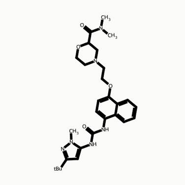 CN(C)C(=O)C1CN(CCOc2ccc(NC(=O)Nc3cc(C(C)(C)C)nn3C)c3ccccc23)CCO1